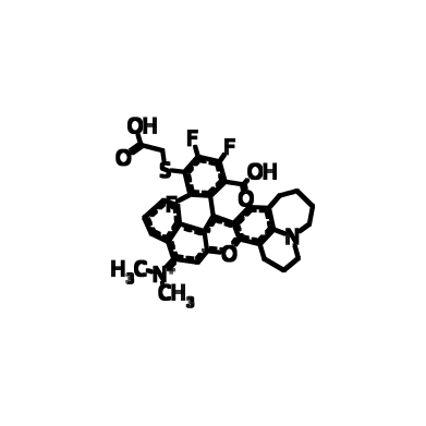 C[N+](C)=c1cc2oc3c4c5c(cc3c(-c3c(F)c(SCC(=O)O)c(F)c(F)c3C(=O)O)c-2c2ccccc12)CCCCN5CCC4